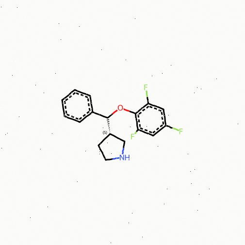 Fc1cc(F)c(OC(c2ccccc2)[C@H]2CCNC2)c(F)c1